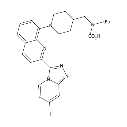 CC(C)(C)N(CC1CCN(c2cccc3ccc(-c4nnc5cc(I)ccn45)nc23)CC1)C(=O)O